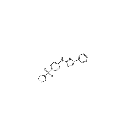 O=S(=O)(c1ccc(Nc2nc(-c3ccncc3)cs2)cc1)N1CCCC1